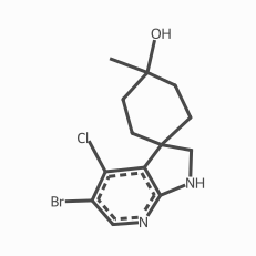 CC1(O)CCC2(CC1)CNc1ncc(Br)c(Cl)c12